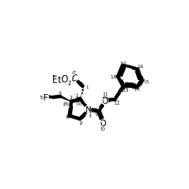 CCOC(=O)C[C@H]1[C@H](CF)CCN1C(=O)OCc1ccccc1